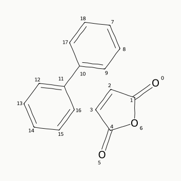 O=C1C=CC(=O)O1.c1ccc(-c2ccccc2)cc1